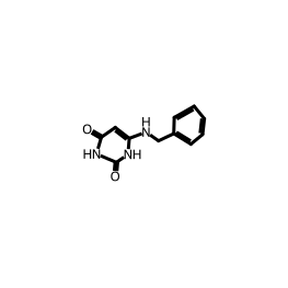 O=c1cc(NCc2ccccc2)[nH]c(=O)[nH]1